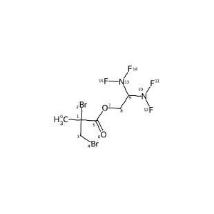 CC(Br)(CBr)C(=O)OCC(N(F)F)N(F)F